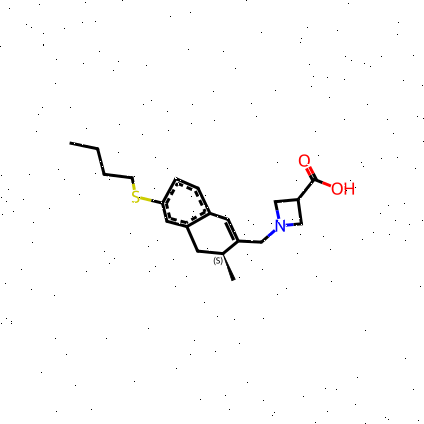 CCCCSc1ccc2c(c1)C[C@H](C)C(CN1CC(C(=O)O)C1)=C2